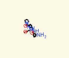 COCCCn1c(NC(=O)c2cccc(N)c2)nc2ccc(C(=O)N3CCCCC3)nc21